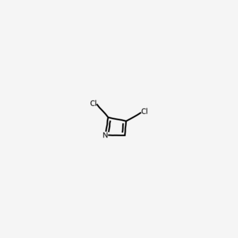 ClC1=CN=C1Cl